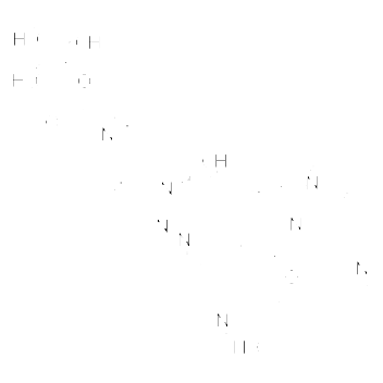 CC[C@@H](Oc1cc(-c2nnn(C3CCN(C(=O)OC(C)(C)C)CC3)c2C)cc2ncc(C#N)n12)c1ccccn1